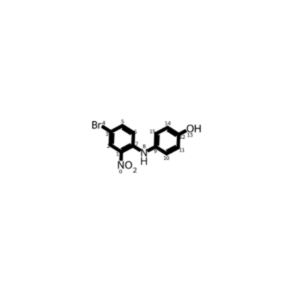 O=[N+]([O-])c1cc(Br)ccc1Nc1ccc(O)cc1